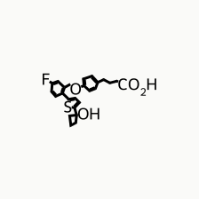 O=C(O)CCCc1ccc(OCc2cc(F)ccc2-c2ccc(C3(O)CCC3)s2)cc1